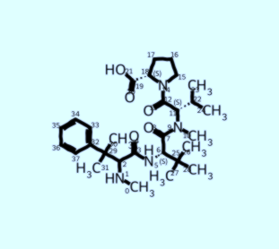 CNC(C(=O)N[C@H](C(=O)N(C)[C@H](C(=O)N1CCC[C@H]1C(=O)O)C(C)C)C(C)(C)C)C(C)(C)c1ccccc1